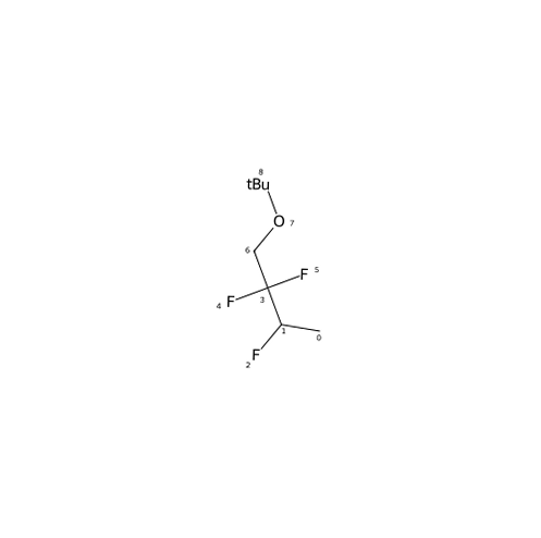 CC(F)C(F)(F)COC(C)(C)C